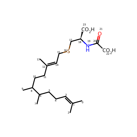 CC(C)=CCCC(C)C(C)CC/C(C)=C/CSC[C@H](NC(=O)C(=O)O)C(=O)O